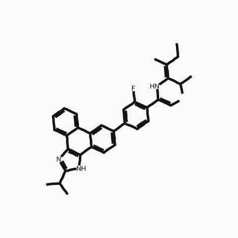 C/C=C(\N/C(=C(\C)CC)C(C)C)c1ccc(-c2ccc3c(c2)c2ccccc2c2nc(C(C)C)[nH]c32)cc1F